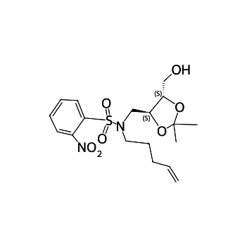 C=CCCCN(C[C@@H]1OC(C)(C)O[C@H]1CO)S(=O)(=O)c1ccccc1[N+](=O)[O-]